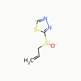 C=CC[S+]([O-])c1nn[c]s1